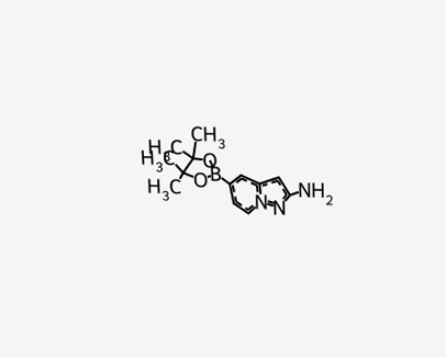 CC1(C)OB(c2ccn3nc(N)cc3c2)OC1(C)C